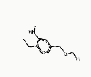 [2H]COCc1ccc(CC)c(NC)c1